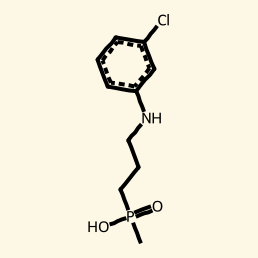 CP(=O)(O)CCCNc1cccc(Cl)c1